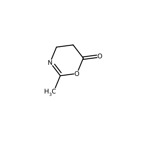 CC1=NCCC(=O)O1